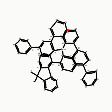 CC1(C)c2ccccc2-c2c(-c3ccccc3N(c3ccccc3-c3ccc(-c4ccccc4)cc3)c3ccc(-c4ccccc4)cc3-c3ccccc3)cccc21